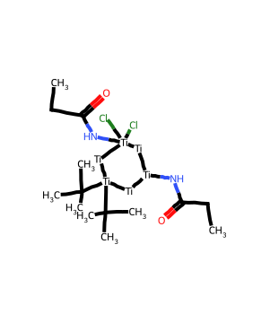 CCC(=O)[NH][Ti]1[Ti][Ti]([C](C)(C)C)([C](C)(C)C)[Ti][Ti]([Cl])([Cl])([NH]C(=O)CC)[Ti]1